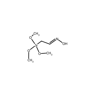 CO[Si](CC=NO)(OC)OC